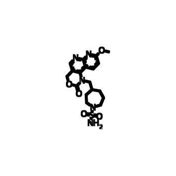 COc1ccc2c3c(cnc2n1)COC(=O)N3CC1CCCN(S(N)(=O)=O)CC1